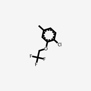 Cc1ccc(Cl)c(OCC(F)(F)F)c1